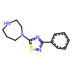 c1ccc(-c2nsc(N3CCCNCC3)n2)cc1